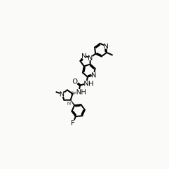 Cc1cc(-n2ncc3cc(NC(=O)N[C@H]4CN(C)C[C@@H]4c4cccc(F)c4)ncc32)ccn1